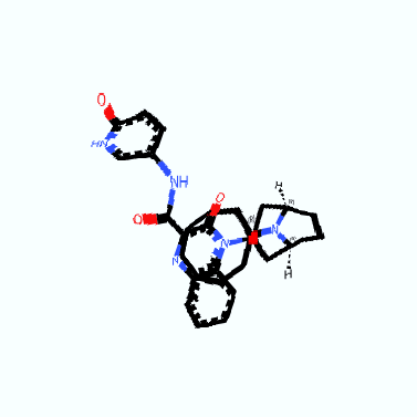 O=C(Nc1ccc(=O)[nH]c1)c1nc2ccccc2n([C@H]2C[C@H]3CC[C@@H](C2)N3C2CCCCCCC2)c1=O